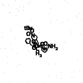 C[C@H](C(=O)N1CCC[C@H]1C(N)=O)N(CC1CCN(C(=O)OC(C)(C)C)CC1)S(=O)(=O)Cc1ccccc1